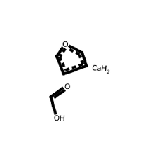 O=CO.[CaH2].c1ccoc1